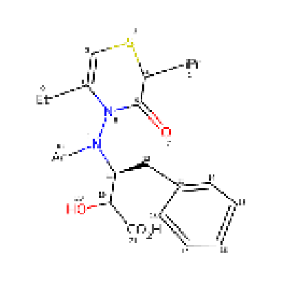 CCC1=CSC(C(C)C)C(=O)N1N(C(C)=O)[C@@H](Cc1ccccc1)C(O)C(=O)O